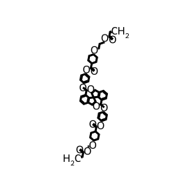 C=CC(=O)OCCCOC1CCC(C(=O)Oc2ccc(OC(=O)c3cccc4c3C3(CC4)CCc4cccc(C(=O)Oc5ccc(OC(=O)C6CCC(OCOC(=O)C=C)CC6)cc5)c43)cc2)CC1